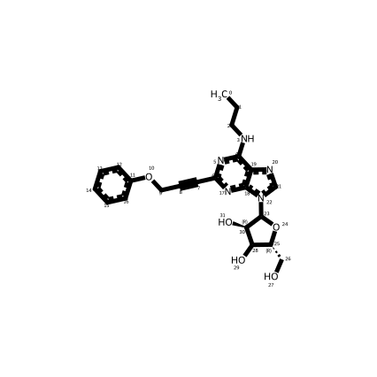 CCCNc1nc(C#CCOc2ccccc2)nc2c1ncn2C1O[C@H](CO)C(O)[C@H]1O